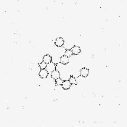 c1ccc(-c2nc3c(ccc4oc5ccc(N(c6ccc7c8ccccc8n(-c8ccccc8)c7c6)c6cccc7sc8ccccc8c67)cc5c43)o2)cc1